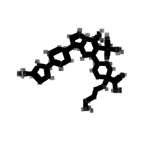 COCCOC1(C(=O)O)CCC(c2nc3c(-c4cnc(-c5ncc(C)s5)nc4)cnn3c(N)c2S(C)(=O)=O)CC1